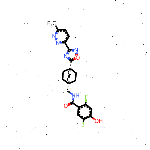 O=C(NC[C@]12CC[C@](c3nc(-c4ccc(C(F)(F)F)nn4)no3)(CC1)CC2)c1cc(F)c(O)cc1F